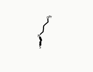 CCCCCCN=C=S